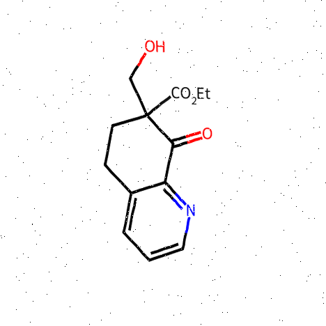 CCOC(=O)C1(CO)CCc2cccnc2C1=O